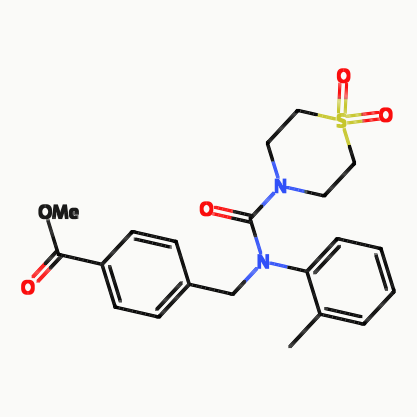 COC(=O)c1ccc(CN(C(=O)N2CCS(=O)(=O)CC2)c2ccccc2C)cc1